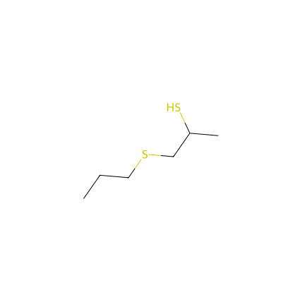 CCCSCC(C)S